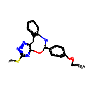 CCCSc1nnc2c(n1)OC(c1ccc(OCC(=O)O)cc1)Nc1ccccc1-2